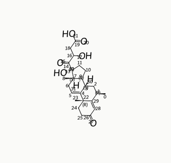 C[C@@H]1C[C@@H]2C(=CC[C@@]3(C)[C@H]2CC[C@]3(O)C(=O)C(O)CC(=O)O)[C@@]2(C)CCC(=O)C=C12